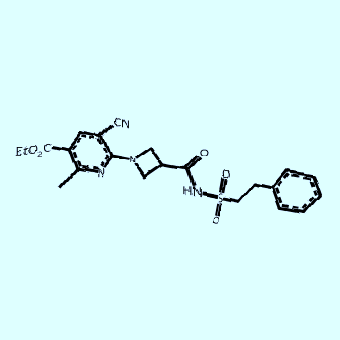 CCOC(=O)c1cc(C#N)c(N2CC(C(=O)NS(=O)(=O)CCc3ccccc3)C2)nc1C